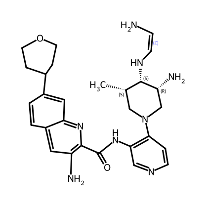 C[C@H]1CN(c2ccncc2NC(=O)c2nc3cc(C4CCOCC4)ccc3cc2N)C[C@@H](N)[C@H]1N/C=C\N